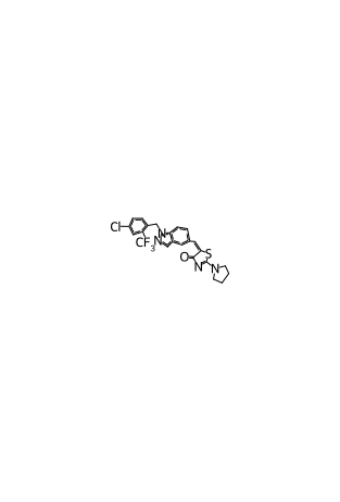 O=C1N=C(N2CCCC2)SC1=Cc1ccc2c(cnn2Cc2ccc(Cl)cc2C(F)(F)F)c1